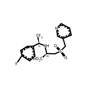 O=C(O)[C@H](CS(=O)(=O)Cc1cccnc1)N[C@@H](c1ccc(F)cc1)C(F)(F)F